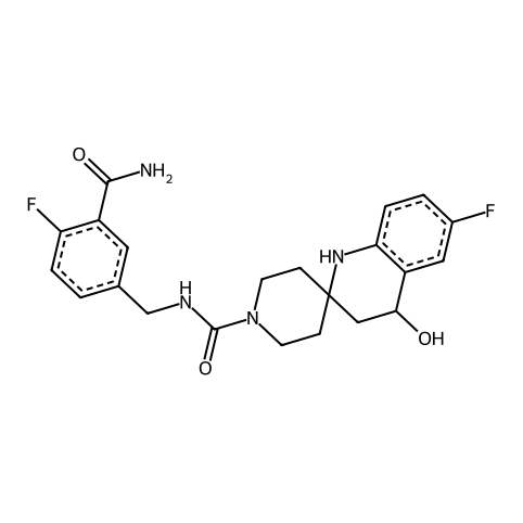 NC(=O)c1cc(CNC(=O)N2CCC3(CC2)CC(O)c2cc(F)ccc2N3)ccc1F